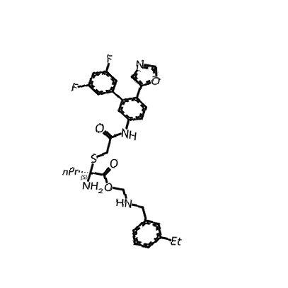 CCC[C@](N)(SCC(=O)Nc1ccc(-c2cnco2)c(-c2cc(F)cc(F)c2)c1)C(=O)OCNCc1cccc(CC)c1